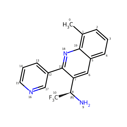 Cc1cccc2cc([C@@H](N)C(F)(F)F)c(-c3cccnc3)nc12